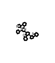 c1ccc(-c2cc(-c3ccc(-c4cccc5c4sc4ccccc45)c4c3oc3ccccc34)nc(-c3ccccc3-c3ccncc3)n2)cc1